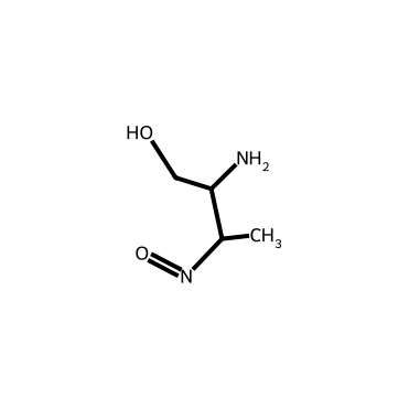 CC(N=O)C(N)CO